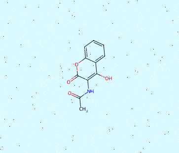 CC(=O)Nc1c(O)c2ccccc2oc1=O